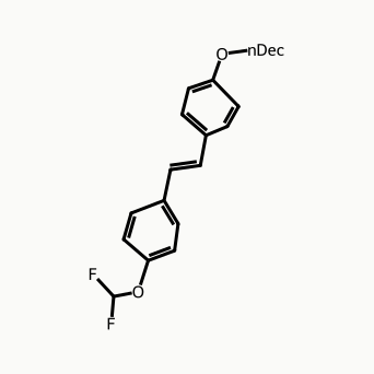 CCCCCCCCCCOc1ccc(C=Cc2ccc(OC(F)F)cc2)cc1